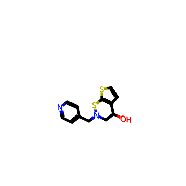 OC1CN(Cc2ccncc2)Sc2sccc21